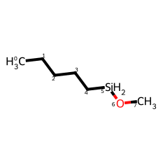 CCCCC[SiH2]OC